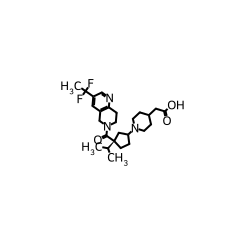 CC(C)[C@]1(C(=O)N2CCc3ncc(C(C)(F)F)cc3C2)CCC(N2CCC(CC(=O)O)CC2)C1